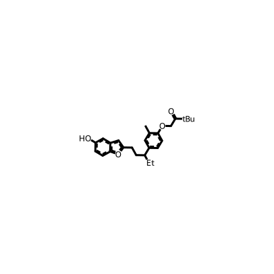 CCC(CCc1cc2cc(O)ccc2o1)c1ccc(OCC(=O)C(C)(C)C)c(C)c1